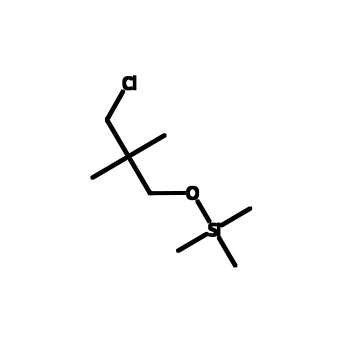 CC(C)(CCl)CO[Si](C)(C)C